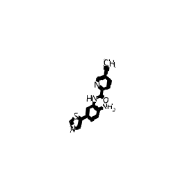 C#Cc1ccc(C(=O)Nc2cc(-c3cncs3)ccc2N)nc1